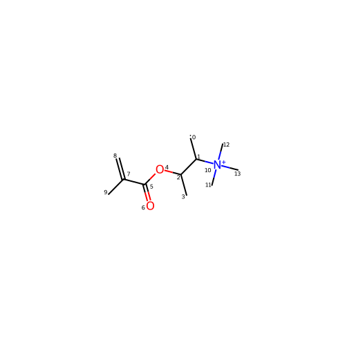 [CH2]C(C(C)OC(=O)C(=C)C)[N+](C)(C)C